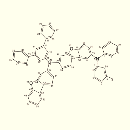 Cc1cccc(N(c2ccccc2)c2ccc3oc4cc(N(c5cc(-c6ccccc6)cc(-c6ccccc6)c5)c5ccc6c(c5)oc5ccccc56)ccc4c3c2)c1